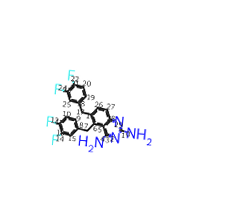 Nc1nc(N)c2c(Cc3ccc(F)c(F)c3)c(Cc3ccc(F)c(F)c3)ccc2n1